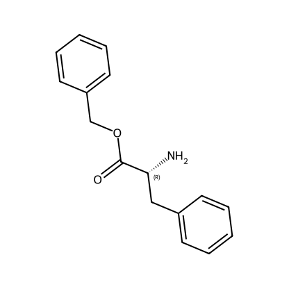 N[C@H](Cc1ccccc1)C(=O)OCc1ccccc1